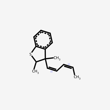 C/C=C\C=C/C1(C)c2ccccc2SC1C